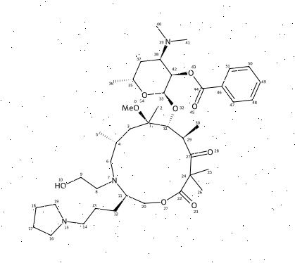 CO[C@]1(C)C[C@@H](C)CN(CCO)[C@H](CCCN2CCCC2)COC(=O)C(C)(C)C(=O)[C@H](C)[C@H]1O[C@H]1O[C@H](C)C[C@@H](N(C)C)[C@H]1OC(=O)c1ccccc1